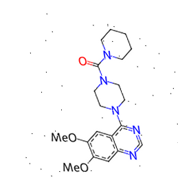 COc1cc2ncnc(N3CCN(C(=O)N4CCCCC4)CC3)c2cc1OC